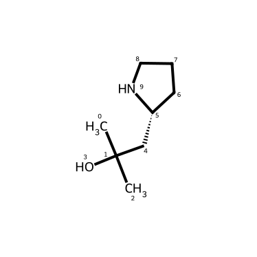 CC(C)(O)C[C@H]1CCCN1